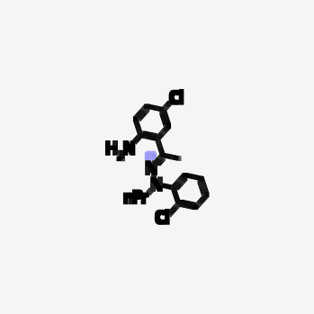 CCCN(/N=C(\C)c1cc(Cl)ccc1N)c1ccccc1Cl